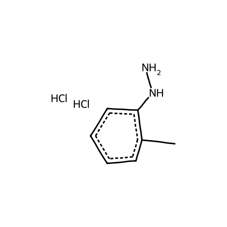 Cc1ccccc1NN.Cl.Cl